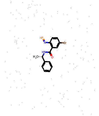 C[C@H](NC(=O)c1cc(Br)ccc1N=P)c1ccccc1